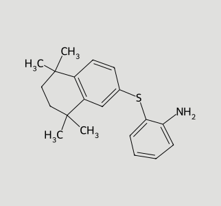 CC1(C)CCC(C)(C)c2cc(Sc3ccccc3N)ccc21